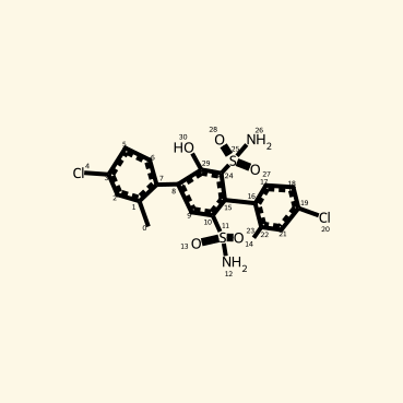 Cc1cc(Cl)ccc1-c1cc(S(N)(=O)=O)c(-c2ccc(Cl)cc2C)c(S(N)(=O)=O)c1O